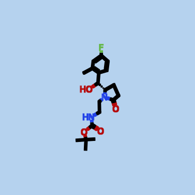 Cc1cc(F)ccc1C(O)[C@@H]1CCC(=O)N1CCNC(=O)OC(C)(C)C